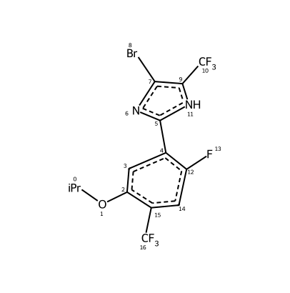 CC(C)Oc1cc(-c2nc(Br)c(C(F)(F)F)[nH]2)c(F)cc1C(F)(F)F